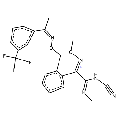 CN=C(NC#N)/C(=N/OC)c1ccccc1CON=C(C)c1cccc(C(F)(F)F)c1